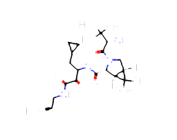 C=CCNC(=O)C(=O)C(CC1CC1)NC(=O)[C@@H]1[C@@H]2[C@H](CN1C(=O)[C@@H](N)C(C)(C)C)C2(C)C